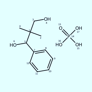 CC(C)(CO)C(O)c1ccccc1.O=P(O)(O)O